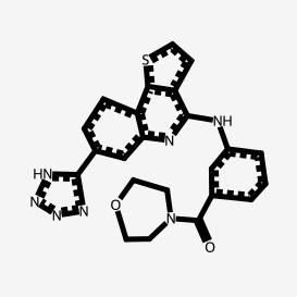 O=C(c1cccc(Nc2nc3cc(-c4nnn[nH]4)ccc3c3sccc23)c1)N1CCOCC1